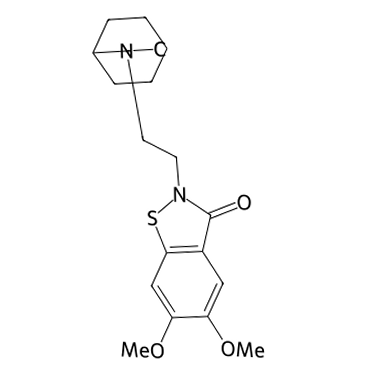 COc1cc2sn(CCN3CC4CCC(CC4)C3)c(=O)c2cc1OC